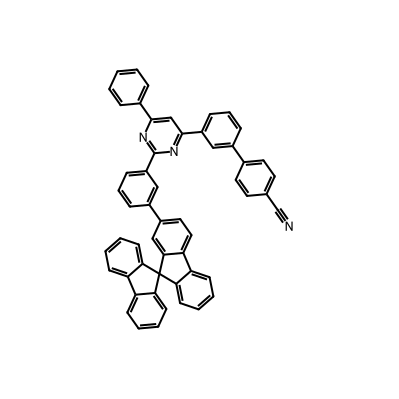 N#Cc1ccc(-c2cccc(-c3cc(-c4ccccc4)nc(-c4cccc(-c5ccc6c(c5)C5(c7ccccc7-c7ccccc75)c5ccccc5-6)c4)n3)c2)cc1